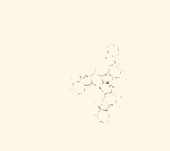 c1ccc2c(c1)oc1c2ccc2c1c1cc3oc4ccccc4c3c3c4c5oc6ccccc6c5ccc4n2c13